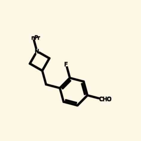 CCCN1CC(Cc2ccc(C=O)cc2F)C1